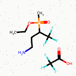 CCOP(C)(=O)C(CCN)C(F)(F)F.O=C(O)C(F)(F)F